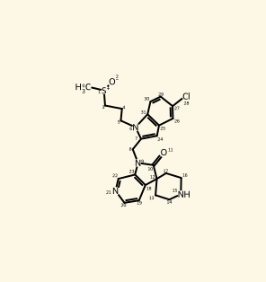 C[S+]([O-])CCCn1c(CN2C(=O)C3(CCNCC3)c3ccncc32)cc2cc(Cl)ccc21